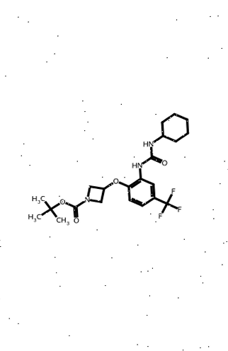 CC(C)(C)OC(=O)N1CC(Oc2ccc(C(F)(F)F)cc2NC(=O)NC2CCCCC2)C1